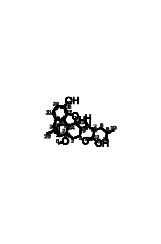 CO[C@@]12CC[C@@H](N[C@@H](CC(C)C)C(=O)O)[C@@H]3Oc4c(O)ccc5c4[C@@]31CCN(C)C2C5